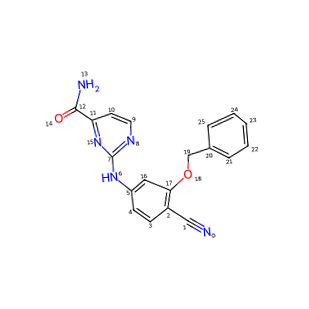 N#Cc1ccc(Nc2nccc(C(N)=O)n2)cc1OCc1ccccc1